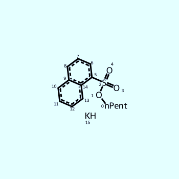 CCCCCOS(=O)(=O)c1cccc2ccccc12.[KH]